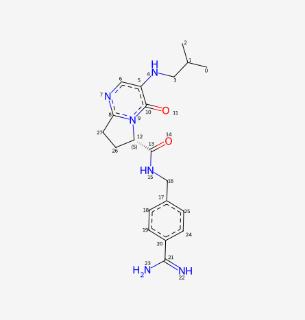 CC(C)CNc1cnc2n(c1=O)[C@H](C(=O)NCc1ccc(C(=N)N)cc1)CC2